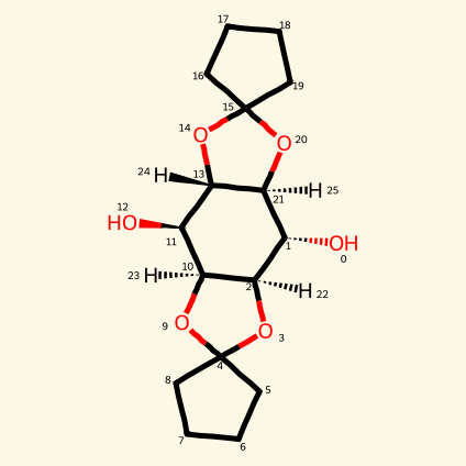 O[C@@H]1[C@H]2OC3(CCCC3)O[C@H]2[C@@H](O)[C@@H]2OC3(CCCC3)O[C@@H]12